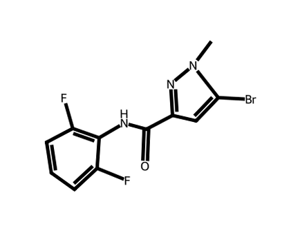 Cn1nc(C(=O)Nc2c(F)cccc2F)cc1Br